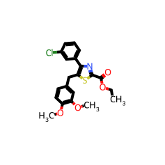 CCOC(=O)c1nc(-c2cccc(Cl)c2)c(Cc2ccc(OC)c(OC)c2)s1